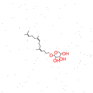 CC(C)=CCCC(C)=CCCC(C)=CCCCOC1OC[C@@H](O)[C@H](O)[C@H]1O